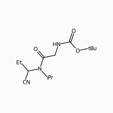 CCC(C#N)N(C(=O)CNC(=O)OC(C)(C)C)C(C)C